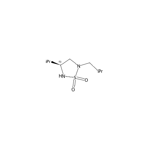 CC(C)CN1C[C@H](C(C)C)NS1(=O)=O